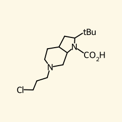 CC(C)(C)C1CC2CCN(CCCCl)CC2N1C(=O)O